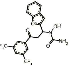 NC(=O)N(O)C(CC(=O)c1cc(C(F)(F)F)cc(C(F)(F)F)c1)c1cc2ccccc2o1